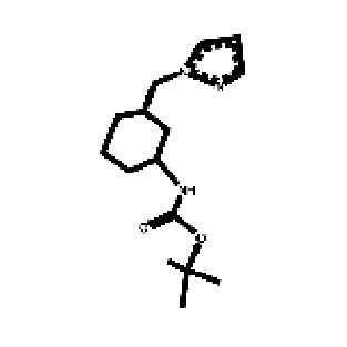 CC(C)(C)OC(=O)NC1CCCC(Cn2cccn2)C1